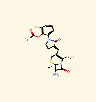 N[C@@H]1C(=O)N2C(C(=O)O)=C(/C=C3\CCN(c4cccc(F)c4OC(=O)C(F)(F)F)C3=O)CS[C@H]12